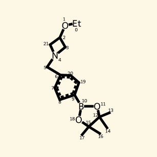 CCOC1CN(Cc2ccc(B3OC(C)(C)C(C)(C)O3)cc2)C1